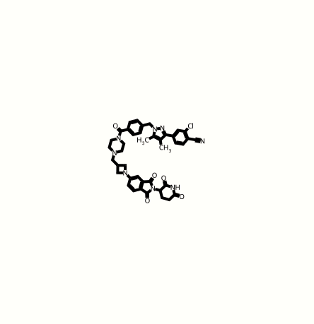 Cc1c(-c2ccc(C#N)c(Cl)c2)nn(Cc2ccc(C(=O)N3CCN(CC4CN(c5ccc6c(c5)C(=O)N(C5CCC(=O)NC5=O)C6=O)C4)CC3)cc2)c1C